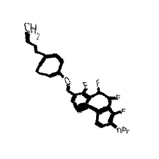 C=CCCC1CCC(OCc2ccc3c(c2F)C(F)C(F)c2c-3ccc(CCC)c2F)CC1